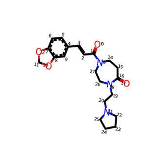 O=C(C=Cc1ccc2c(c1)OCO2)N1CCC(=O)N(CCN2CCCC2)CC1